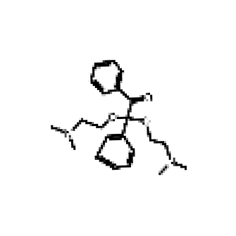 CN(C)CCOC(OCCN(C)C)(C(=O)c1ccccc1)c1ccccc1